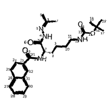 CC(C)=NNC(=O)[C@H](CCCCNC(=O)OC(C)(C)C)NC(=O)c1ccc2ccccc2c1